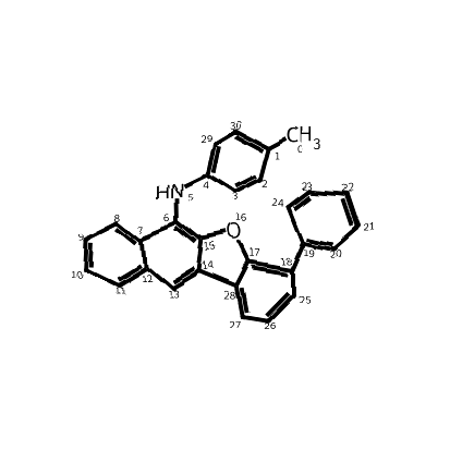 Cc1ccc(Nc2c3ccccc3cc3c2oc2c(-c4ccccc4)cccc23)cc1